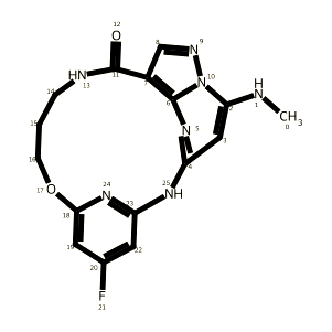 CNc1cc2nc3c(cnn13)C(=O)NCCCOc1cc(F)cc(n1)N2